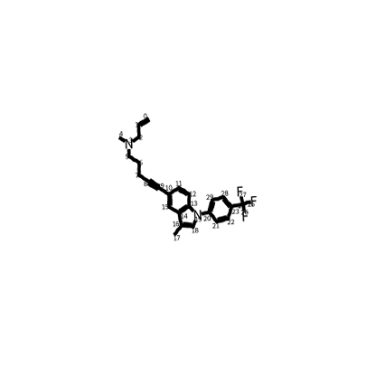 C=CCN(C)CCCC#Cc1ccc2c(c1)c(C)cn2-c1ccc(C(F)(F)F)cc1